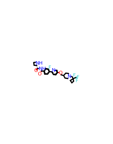 O=C(NC(=O)[C@@H]1CCCN1)c1ccc(-c2ccc(OCC3CCN(CC4(C(F)(F)F)CCC4)CC3)cn2)c(F)c1